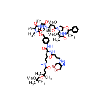 CC[C@H](C)[C@@H]([C@@H](CC(=O)N1CCC[C@H]1[C@H](OC)[C@@H](C)C(=O)N[C@H](C)[C@@H](O)c1ccccc1)OC)N(C)C(=O)[C@@H](NC(=O)C(C(C)C)N(C)C(=O)OCc1ccc(NC(=O)[C@H](CCCCNC(=O)CCC(C)(C)OCC(C)(C)OC)NC(=O)CCCn2nnc(CBr)c2CBr)cc1)C(C)C